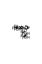 CN1CCN(C2CC3(CNC3)C2)CC1.O=C(O)C(F)(F)F.O=C(O)C(F)(F)F.O=C(O)C(F)(F)F